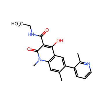 Cc1cc2c(cc1-c1cccnc1C)c(O)c(C(=O)NCC(=O)O)c(=O)n2C